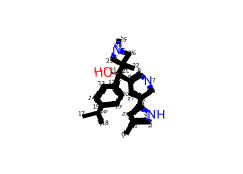 Cc1c[nH]c(-c2cncc([C@@](O)(c3ccc(C(C)C)cc3)C3(C)CN(C)C3)c2)c1